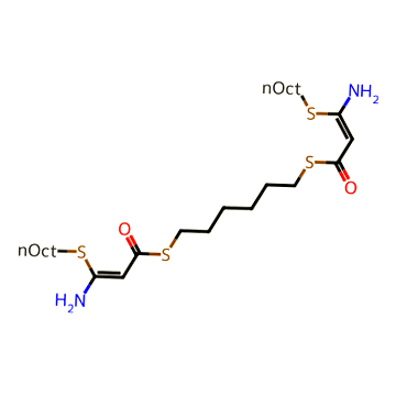 CCCCCCCCS/C(N)=C\C(=O)SCCCCCCSC(=O)/C=C(/N)SCCCCCCCC